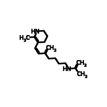 C=C(/C=C\C1=C(C)NCCC1)CCCCNC(=C)C